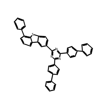 c1ccc(-c2ccc(-c3nc(-c4ccc(-c5ccccc5)cc4)nc(-c4ccc5sc6c(-c7ccccc7)cccc6c5c4)n3)cc2)cc1